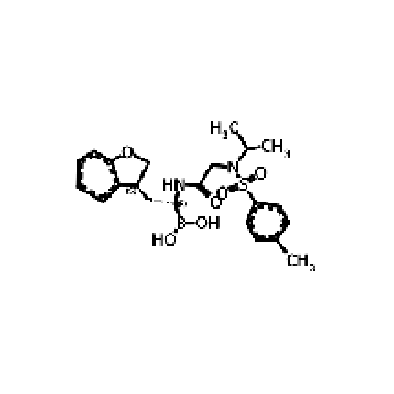 Cc1ccc(S(=O)(=O)N(CC(=O)N[C@@H](C[C@@H]2COc3ccccc32)B(O)O)C(C)C)cc1